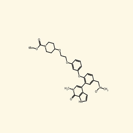 Cn1cc(-c2cc(C[S+](C)[O-])ccc2Oc2cccc(OCCOC3CCN(C(=O)OC(C)(C)C)CC3)c2)c2cc[nH]c2c1=O